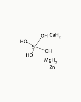 O[Si](O)(O)O.[CaH2].[MgH2].[Zn]